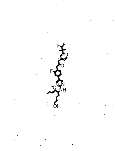 CC/C=C(OC)/C(=C\CCCO)Nc1ncc(-c2ccc(CC(=O)CC3=C=COC(C(C)(C)C(F)F)=C3)c(F)c2)cn1